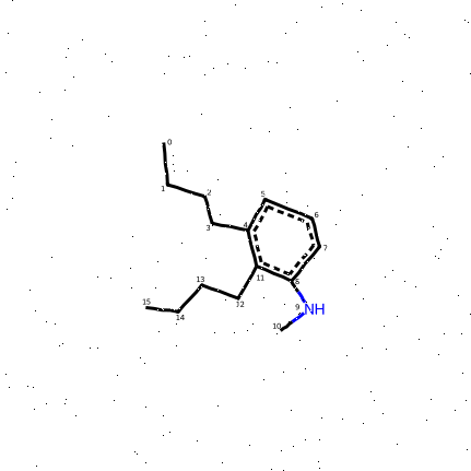 CCCCc1cccc(NC)c1CCCC